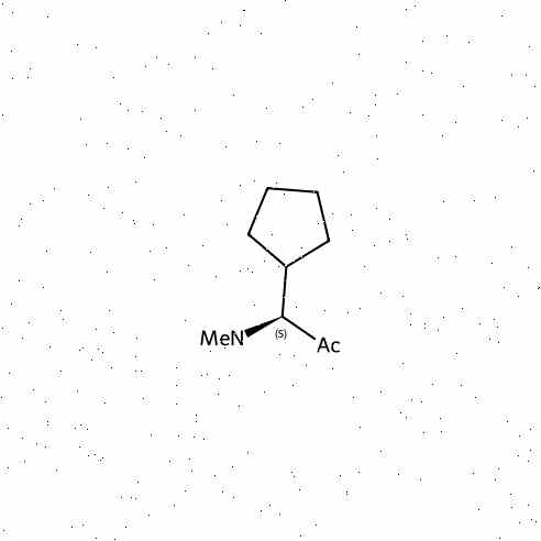 CN[C@H](C(C)=O)C1CCCC1